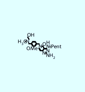 CCC[C@@H](C)Nc1nc(N)nc2ccn(Cc3ccc(CN(C)CCO)cc3OC)c(=O)c12